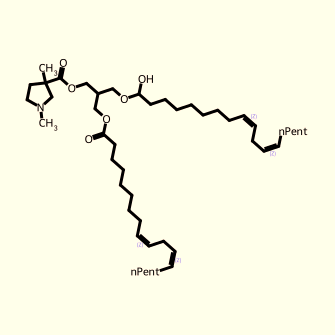 CCCCC/C=C\C/C=C\CCCCCCCC(=O)OCC(COC(=O)C1(C)CCN(C)C1)COC(O)CCCCCCC/C=C\C/C=C\CCCCC